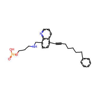 O=[PH](O)OCCCNCc1ccc(C#CCCCCCc2ccccc2)c2cccnc12